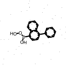 OOB(O)c1ccc(-c2ccccc2)c2ccccc12